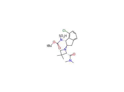 CN(C)C(=O)[C@H]1N([C@@H]2Cc3cccc(Cl)c3[C@H]2N(C(=O)OC(C)(C)C)S(=O)(=O)O)CC1(C)C